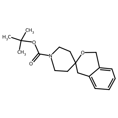 CC(C)(C)OC(=O)N1CCC2(CC1)Cc1ccccc1CO2